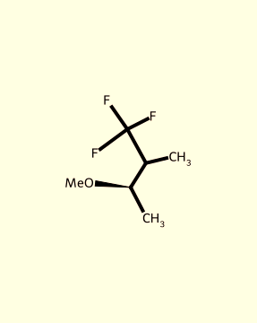 CO[C@H](C)C(C)C(F)(F)F